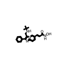 CC(C)(C)NCc1c(-c2ccccc2)nc2ccc(/C=C/C(=O)NO)cn12